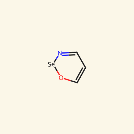 C1=CO[Se]N=C1